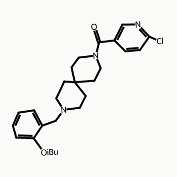 CC(C)COc1ccccc1CN1CCC2(CC1)CCN(C(=O)c1ccc(Cl)nc1)CC2